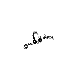 CCOC(=O)COc1ccc(Sc2cc(C#CCOC)cc(OCCCN3CCOCC3)c2)cc1Cl